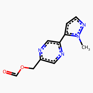 Cn1nccc1-c1cnc(COC=O)cn1